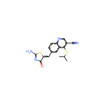 CC(C)Sc1c(C#N)cnc2ccc(/C=C3\SC(N)=NC3=O)cc12